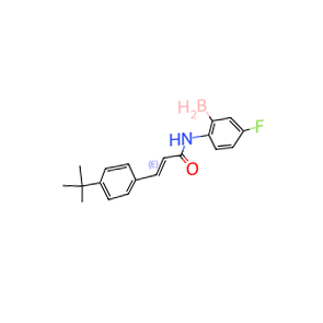 Bc1cc(F)ccc1NC(=O)/C=C/c1ccc(C(C)(C)C)cc1